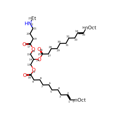 CCCCCCCCC=CCCCCCCCC(=O)OCC(COC(=O)CCCNCC)OC(=O)CCCCCCCC=CCCCCCCCC